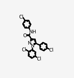 O=C(Nc1ccc(Cl)cc1)c1cc(-c2ccc(Cl)cc2)n(-c2cc(Cl)ccc2Cl)n1